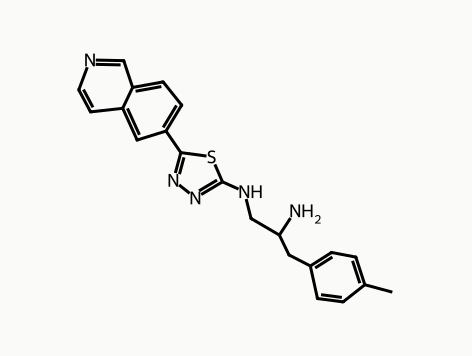 Cc1ccc(CC(N)CNc2nnc(-c3ccc4cnccc4c3)s2)cc1